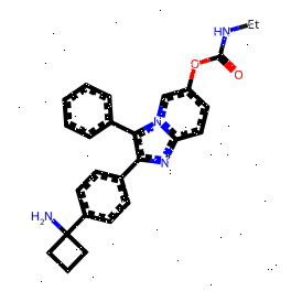 CCNC(=O)Oc1ccc2nc(-c3ccc(C4(N)CCC4)cc3)c(-c3ccccc3)n2c1